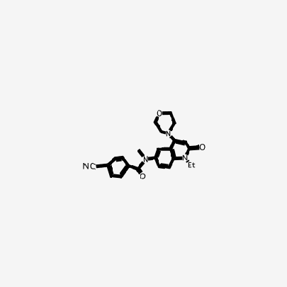 CCn1c(=O)cc(N2CCOCC2)c2cc(N(C)C(=O)c3ccc(C#N)cc3)ccc21